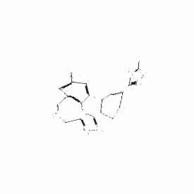 Cc1nc([C@H]2CC[C@@H](c3nnc4n3-c3ccc(Cl)cc3CNC4)CC2)no1